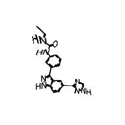 CCNC(=O)Nc1cccc(-c2n[nH]c3ccc(-c4nc[nH]n4)cc23)c1